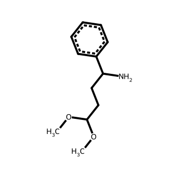 CO[C](CCC(N)c1ccccc1)OC